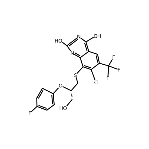 OC[C@@H](CSc1c(Cl)c(C(F)(F)F)cc2c(O)nc(O)nc12)Oc1ccc(F)cc1